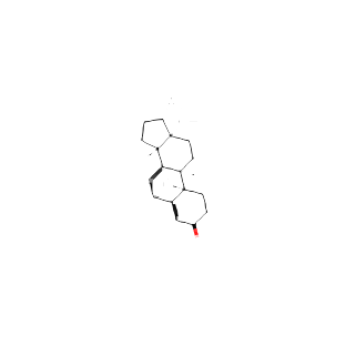 CC(=O)[C@H]1CC[C@H]2C3=CCC4=CC(=O)CC[C@@]4(C)[C@@H]3CC[C@]12C